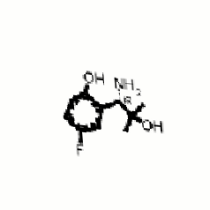 CC(C)(O)[C@@H](N)c1cc(F)ccc1O